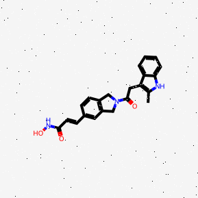 Cc1[nH]c2ccccc2c1CC(=O)N1Cc2ccc(C=CC(=O)NO)cc2C1